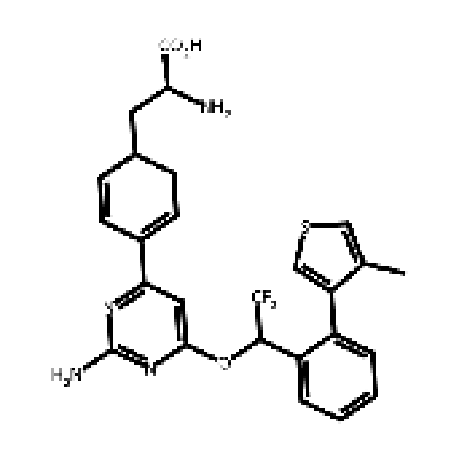 Cc1cscc1-c1ccccc1C(Oc1cc(C2=CCC(C[C@H](N)C(=O)O)C=C2)nc(N)n1)C(F)(F)F